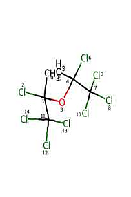 CC(Cl)(OC(C)(Cl)C(Cl)(Cl)Cl)C(Cl)(Cl)Cl